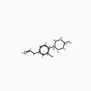 Cc1cc(CC=O)ccc1N1CCC(C)CC1